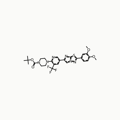 COc1ccc(-c2nn3cc(-c4cnc(N5CCN(C(=O)OC(C)(C)C)CC5)c(C(F)(F)F)c4)nc3s2)cc1OC